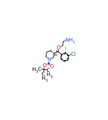 CC(C)(C)OC(=O)N1CCC[C@@H]([C@@H](OCCN)c2cccc(Cl)c2F)C1